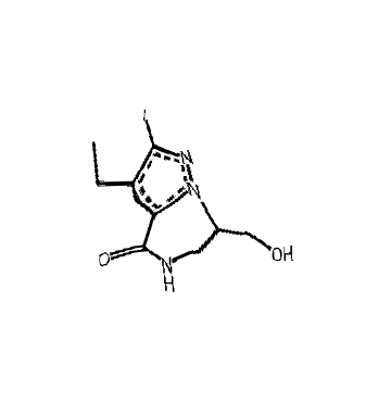 CCc1c(I)nn2c1C(=O)NCC2CO